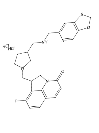 Cl.Cl.O=c1ccc2ccc(F)c3c2n1CC3CN1CCC(CNCc2cc3c(cn2)OCS3)C1